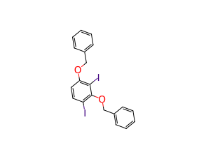 Ic1ccc(OCc2ccccc2)c(I)c1OCc1ccccc1